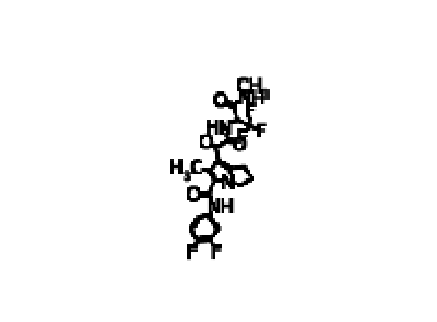 CNC(=O)C(NC(=O)C(=O)c1c(C)c(C(=O)Nc2ccc(F)c(F)c2)n2c1CCC2)C(F)(F)F